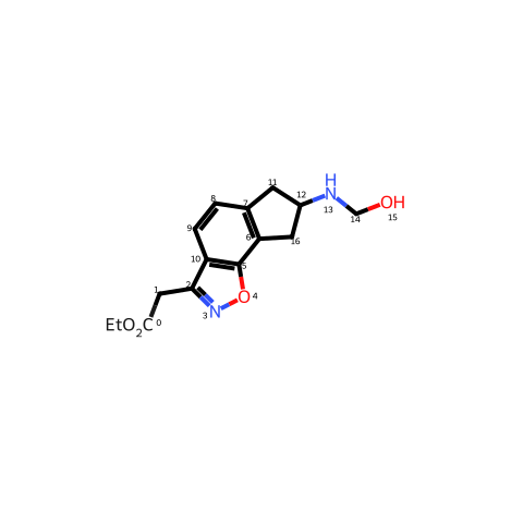 CCOC(=O)Cc1noc2c3c(ccc12)CC(NCO)C3